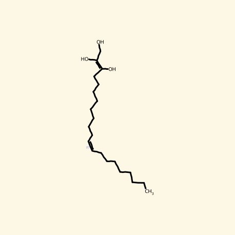 CCCCCCCC/C=C\CCCCCCCCC(O)=C(O)CO